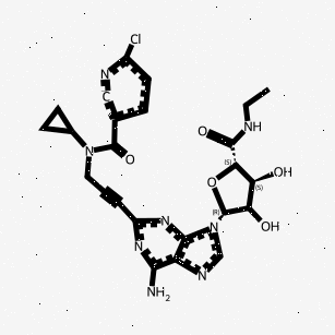 CCNC(=O)[C@H]1O[C@@H](n2cnc3c(N)nc(C#CCN(C(=O)c4ccc(Cl)nc4)C4CC4)nc32)C(O)[C@@H]1O